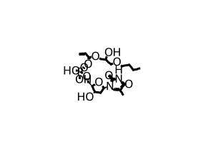 C=CC(=O)OCC(O)COCCCC.Cc1cn([C@H]2C[C@H](O)[C@@H](COP(=O)(O)O)O2)c(=O)[nH]c1=O